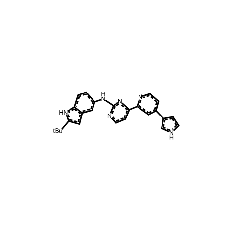 CC(C)(C)c1cc2cc(Nc3nccc(-c4cc(-c5cc[nH]c5)ccn4)n3)ccc2[nH]1